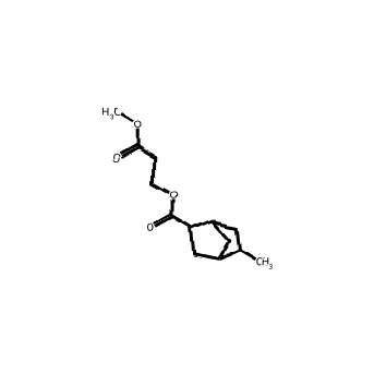 COC(=O)CCOC(=O)C1CC2CC1CC2C